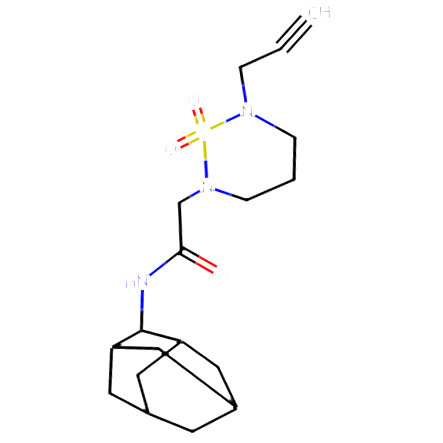 C#CCN1CCCN(CC(=O)NC2C3CC4CC(C3)CC2C4)S1(=O)=O